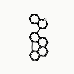 c1cc2c3c(c1)ccc1ccc4c(-c5ccnc6ccccc56)ccc-2c4c13